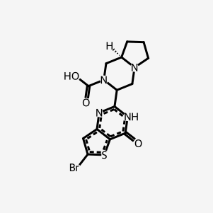 O=C(O)N1C[C@H]2CCCN2CC1c1nc2cc(Br)sc2c(=O)[nH]1